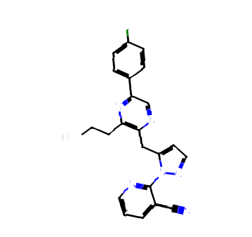 CCCc1nc(-c2ccc(F)cc2)cnc1Cc1ccnn1-c1ncccc1C#N